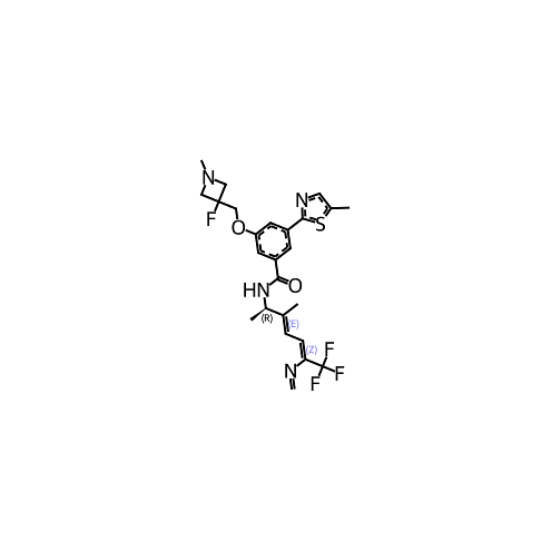 C=N/C(=C\C=C(/C)[C@@H](C)NC(=O)c1cc(OCC2(F)CN(C)C2)cc(-c2ncc(C)s2)c1)C(F)(F)F